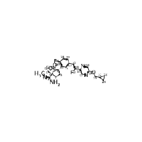 C/N=C(/N)[C@@]1(CF)CC[C@@H](c2cc(/C=C(\F)c3cnc(OCC4CC4)cn3)ccc2F)S1(=O)=O